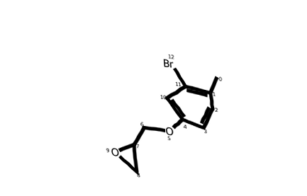 Cc1ccc(OCC2CO2)cc1Br